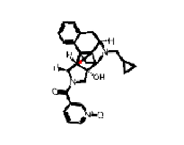 O=C(c1ccc[n+]([O-])c1)N1C[C@]2(O)C[C@@]34CC[C@@H]1[C@@H]2[C@@]31CCN(CC2CC2)[C@@H]4Cc2ccccc21